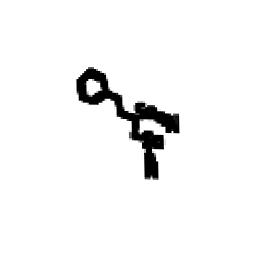 N#C[Se]CC(CCc1ccccc1)[Se]C#N